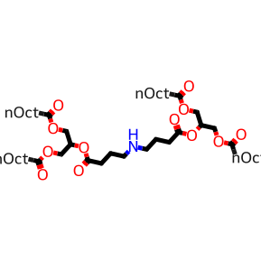 CCCCCCCCC(=O)OCC(COC(=O)CCCCCCCC)OC(=O)CCCNCCCC(=O)OC(COC(=O)CCCCCCCC)COC(=O)CCCCCCCC